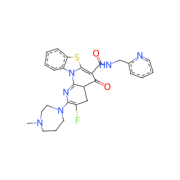 CN1CCCN(C2=C(F)CC3C(=O)C(C(=O)NCc4ccccn4)=C4Sc5ccccc5N4C3=N2)CC1